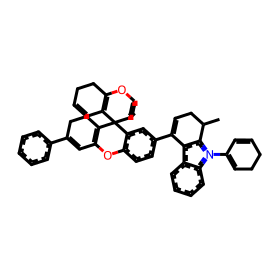 CC1CC=C(c2ccc3c(c2)C2(C4=CC=CCC4OC4=C2C=CCC4)C2=C(C=C(c4ccccc4)CC2)O3)c2c1n(C1=CCCC=C1)c1ccccc21